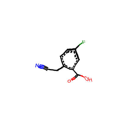 N#CCc1ccc(F)cc1C(=O)O